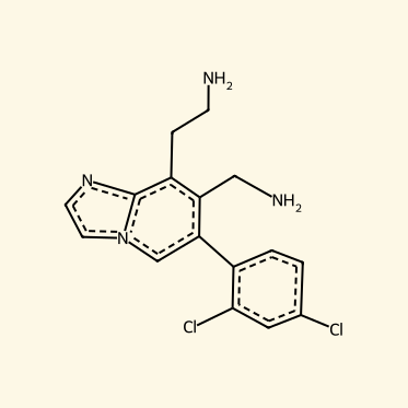 NCCc1c(CN)c(-c2ccc(Cl)cc2Cl)cn2ccnc12